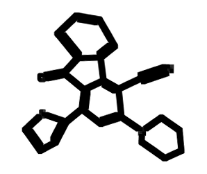 N#Cc1c(N2CCCCC2)cc(-c2cccs2)c2c1-c1ccccc1C2=O